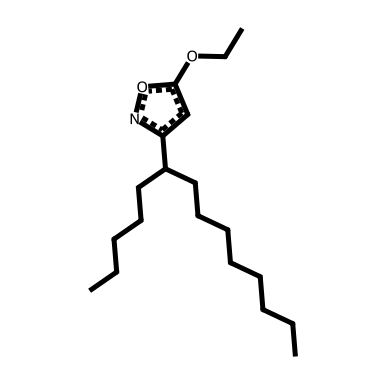 CCCCCCCCC(CCCCC)c1cc(OCC)on1